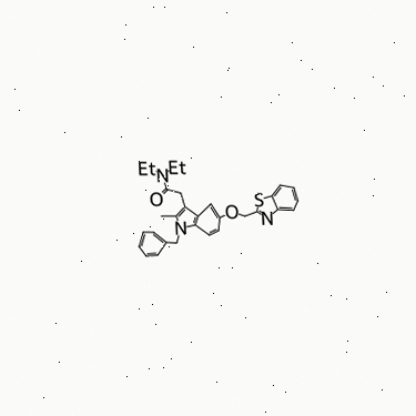 CCN(CC)C(=O)Cc1c(C)n(Cc2ccccc2)c2ccc(OCc3nc4ccccc4s3)cc12